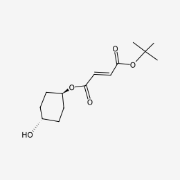 CC(C)(C)OC(=O)/C=C/C(=O)O[C@H]1CC[C@H](O)CC1